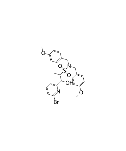 COc1ccc(CN(Cc2ccc(OC)cc2)S(=O)(=O)C(C)C(O)c2cccc(Br)n2)cc1